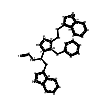 O=CN[C@H](Cc1c[nH]c2ccccc12)c1nnc(CCc2c[nH]c3ccccc23)n1Cc1ccccc1